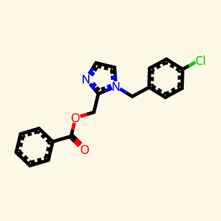 O=C(OCc1nccn1Cc1ccc(Cl)cc1)c1ccccc1